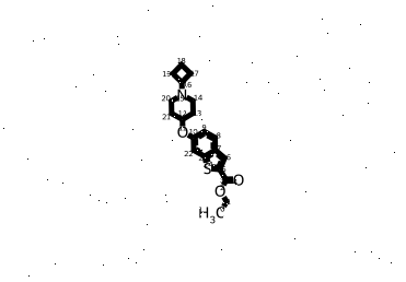 CCOC(=O)c1cc2ccc(OC3CCN(C4CCC4)CC3)cc2s1